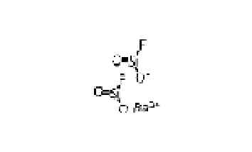 O=[Si]([O-])F.O=[Si]([O-])F.[Ba+2]